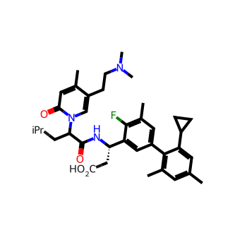 Cc1cc(C)c(-c2cc(C)c(F)c([C@H](CC(=O)O)NC(=O)C(CC(C)C)n3cc(CCN(C)C)c(C)cc3=O)c2)c(C2CC2)c1